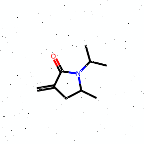 C=C1CC(C)N(C(C)C)C1=O